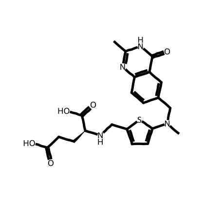 Cc1nc2ccc(CN(C)c3ccc(CN[C@@H](CCC(=O)O)C(=O)O)s3)cc2c(=O)[nH]1